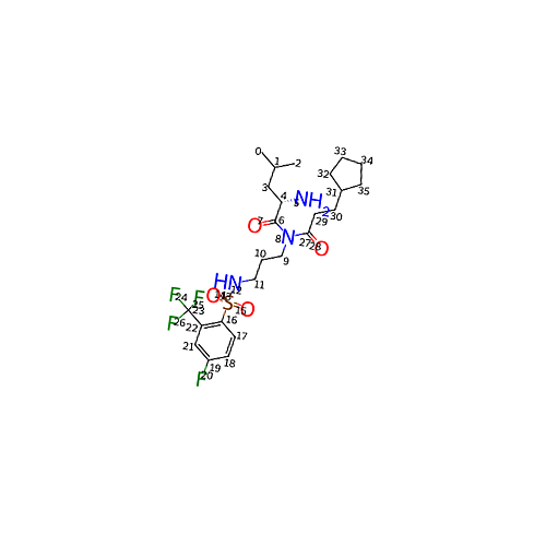 CC(C)C[C@H](N)C(=O)N(CCCNS(=O)(=O)c1ccc(F)cc1C(F)(F)F)C(=O)CCC1CCCC1